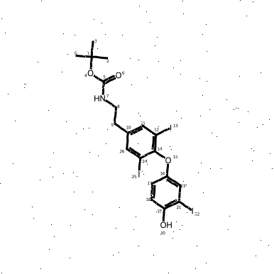 CC(C)(C)OC(=O)NCCc1cc(I)c(Oc2ccc(O)c(I)c2)c(I)c1